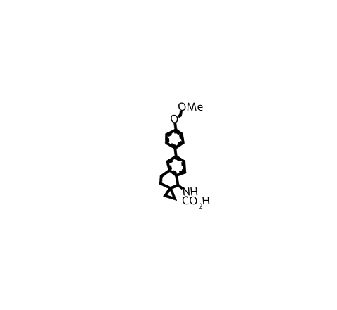 COCOc1ccc(-c2ccc3c(c2)CCC2(CC2)C3NC(=O)O)cc1